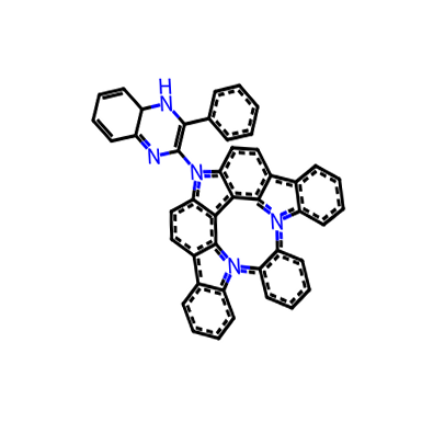 C1=CC2=NC(n3c4ccc5c6ccccc6n6c7ccccc7n7c8ccccc8c8ccc3c(c4c56)c87)=C(c3ccccc3)NC2C=C1